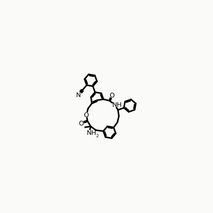 CC1(N)Cc2cccc(c2)CCC(c2ccccc2)NC(=O)c2cc(cc(-c3ccccc3C#N)c2)COC1=O